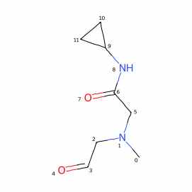 CN(CC=O)CC(=O)NC1CC1